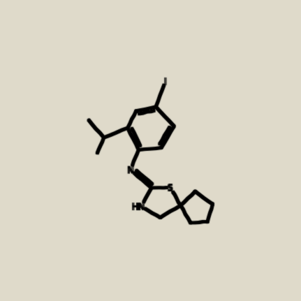 CC(C)c1cc(I)ccc1/N=C1/NCC2(CCCC2)S1